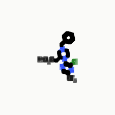 CCOC(=O)C[C@H]1CN(Cc2ccccc2)CCN1c1ncc(C(F)(F)F)nc1Cl